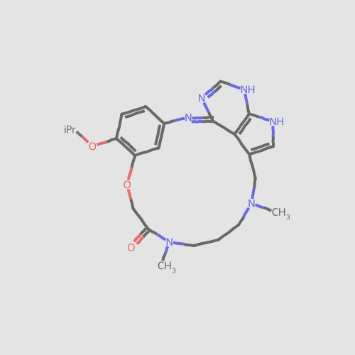 CC(C)Oc1ccc2cc1OCC(=O)N(C)CCCN(C)Cc1c[nH]c3c1/C(=N\2)N=CN3